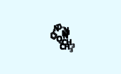 CC(C)COc1cccc(CN2CCC(Cn3ccnn3)C2)c1